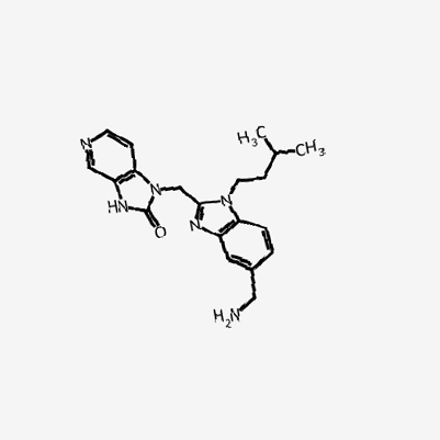 CC(C)CCn1c(Cn2c(=O)[nH]c3cnccc32)nc2cc(CN)ccc21